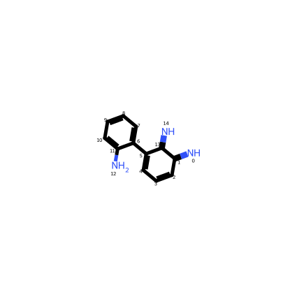 N=C1C=CC=C(c2ccccc2N)C1=N